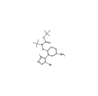 Cn1ncc(Br)c1-c1cc(N)ccc1ON(C(=O)OC(C)(C)C)C(C)(C)C